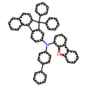 c1ccc(-c2ccc(N(c3ccc4c(c3)C(c3ccccc3)(c3ccccc3)c3ccc5ccccc5c3-4)c3cccc4c3oc3ccccc34)cc2)cc1